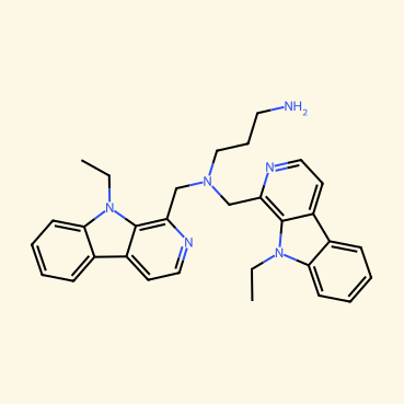 CCn1c2ccccc2c2ccnc(CN(CCCN)Cc3nccc4c5ccccc5n(CC)c34)c21